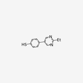 CCc1ncc(-c2ccc(S)cc2)cn1